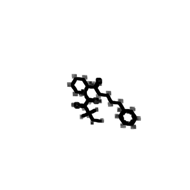 CCC(C)(C)C(=O)C(=O)N1CCCCC1C(=O)CCCCc1ccccc1